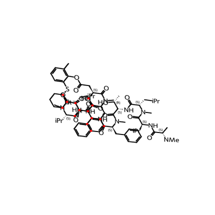 CCSSc1cccc(C)c1OC(=O)C[C@H](NC(=O)[C@H](Cc1ccccc1)NC(=O)[C@H](C(C)C)N(C)C(=O)[C@H](CC(C)C)N(C)C(=O)CNC(=O)[C@H](Cc1ccccc1)N(C)C(=O)[C@@H](NC(=O)[C@H](CC(C)C)N(C)C(=O)[C@@H](NC(=O)[C@H](C)NC)C(C)C)[C@@H](C)O)C(=O)N(C)C(Cc1ccccc1)C(=O)N[C@@H](C)C(=O)N1CCCCC1